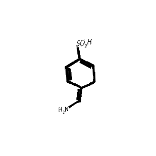 NC=C1C=CC(S(=O)(=O)O)=CC1